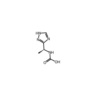 C[C@H](NC(=O)O)c1nc[nH]n1